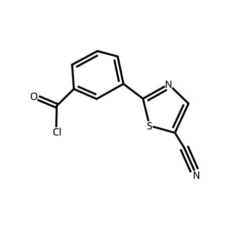 N#Cc1cnc(-c2cccc(C(=O)Cl)c2)s1